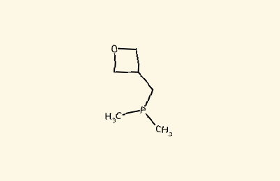 CP(C)CC1COC1